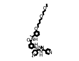 CCOCCCOCCCCCOc1cccc([C@H](C)NC(=O)c2cccc(NC3(c4nnc(-c5ccncc5)[nH]4)CCN(C)CC3)c2)c1